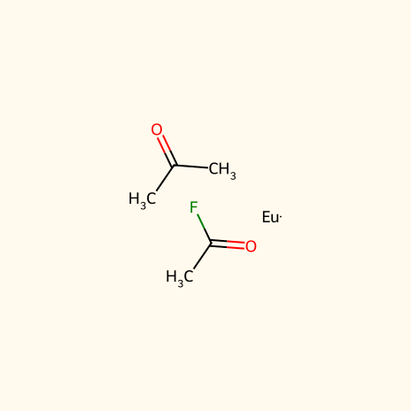 CC(=O)F.CC(C)=O.[Eu]